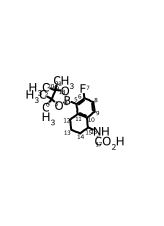 CC1(C)OB(c2c(F)ccc3c2CCCC3NC(=O)O)OC1(C)C